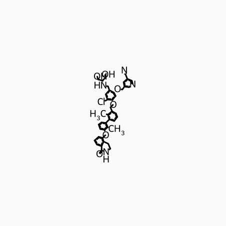 Cc1c(COc2cc(OCc3cncc(C#N)c3)c(CNC(CO)CO)cc2Cl)cccc1-c1cccc(Oc2cccc3c2CCNC3=O)c1C